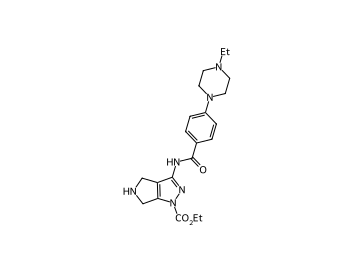 CCOC(=O)n1nc(NC(=O)c2ccc(N3CCN(CC)CC3)cc2)c2c1CNC2